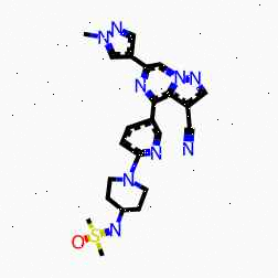 Cn1cc(-c2cn3ncc(C#N)c3c(-c3ccc(N4CCC(N=S(C)(C)=O)CC4)nc3)n2)cn1